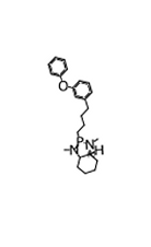 CN1C2CCCC[C@H]2N(C)P1CCCCc1cccc(Oc2ccccc2)c1